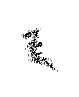 CCCC(=O)NCCCC[C@H](CC)C(=O)CN[C@@H](CO)C(=O)C(=O)[C@@H](NC(=O)C(CC(=O)O)NC(=O)[C@H](CO)NC(=O)[C@@H](NC(=O)[C@H](Cc1ccccc1)NC(=O)[C@@H](NC(=O)CNC(=O)C(CCC(=O)O)NC(=O)[C@H](C)NC(=O)C(Cc1cnc[nH]1)NN)[C@@H](C)O)[C@@H](C)O)C(C)C